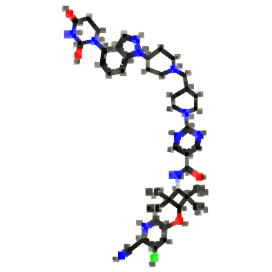 CC1(C)[C@H](NC(=O)c2cnc(N3CCC(CN4CCC(n5ncc6c(N7CCC(=O)NC7=O)cccc65)CC4)CC3)nc2)C(C)(C)[C@H]1Oc1cnc(C#N)c(Cl)c1